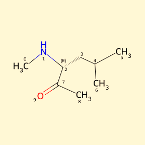 CN[C@H](CC(C)C)C(C)=O